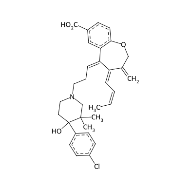 C=C1COc2ccc(C(=O)O)cc2C(=C/CCN2CCC(O)(c3ccc(Cl)cc3)C(C)(C)C2)/C1=C/C=C\C